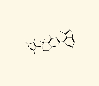 [2H]C1([2H])c2c(C)cc(-c3cccc4[nH]cc(C)c34)nc2CCN1c1c(C)nn(CC)c1C